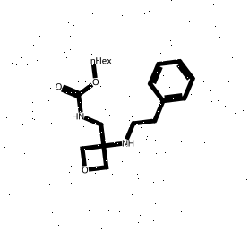 CCCCCCOC(=O)NCC1(NCCc2ccccc2)COC1